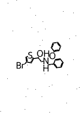 O[C@@H](CNCc1ccccc1Oc1ccccc1)c1cc(Br)cs1